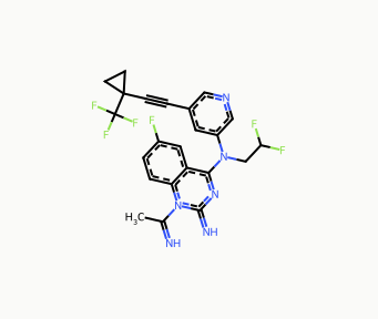 CC(=N)n1c(=N)nc(N(CC(F)F)c2cncc(C#CC3(C(F)(F)F)CC3)c2)c2cc(F)ccc21